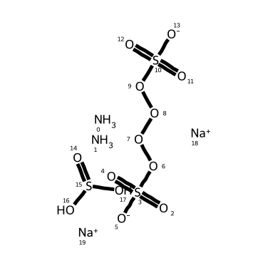 N.N.O=S(=O)([O-])OOOOS(=O)(=O)[O-].O=S(O)O.[Na+].[Na+]